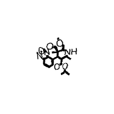 COC(=O)C1(C)C(C)NC(C)=C(C(=O)OC(C)C)C1c1cccc2nonc12